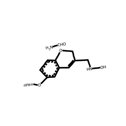 CCCCCCOc1ccc2c(c1)C=C(CNO)CO2.NC=O